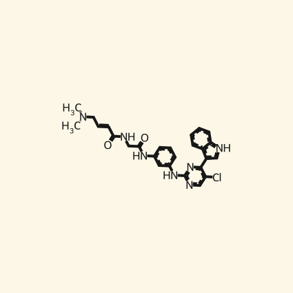 CN(C)C/C=C/C(=O)NCC(=O)Nc1cccc(Nc2ncc(Cl)c(-c3c[nH]c4ccccc34)n2)c1